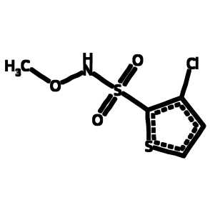 CONS(=O)(=O)c1sccc1Cl